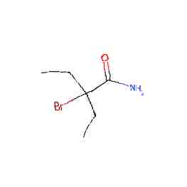 CCC(Br)(CC)C(N)=O